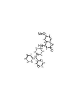 COc1ccc2oc(=O)cc(NC3CCN(C(C4=CC=CCC4)C4=COC=CO4)CC3)c2c1